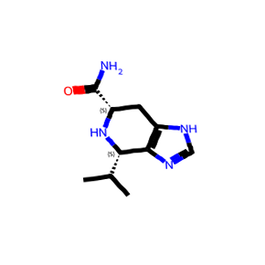 CC(C)[C@@H]1N[C@H](C(N)=O)Cc2[nH]cnc21